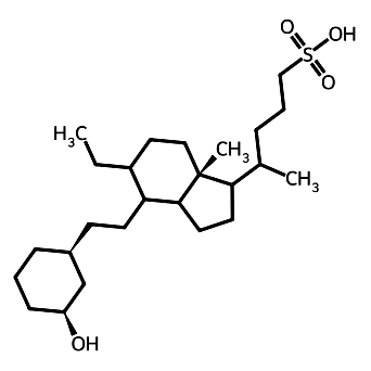 CCC1CC[C@]2(C)C(C(C)CCCS(=O)(=O)O)CCC2C1CC[C@@H]1CCC[C@H](O)C1